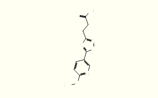 COc1ccc(-c2nc(CCC(=O)O)no2)cn1